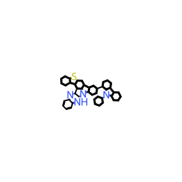 N=C1C=CC=C/C1=N/C1Cn2c3ccc(-c4cccc5c6ccccc6n(-c6ccccc6)c45)cc3c3cc4sc5ccccc5c4c1c32